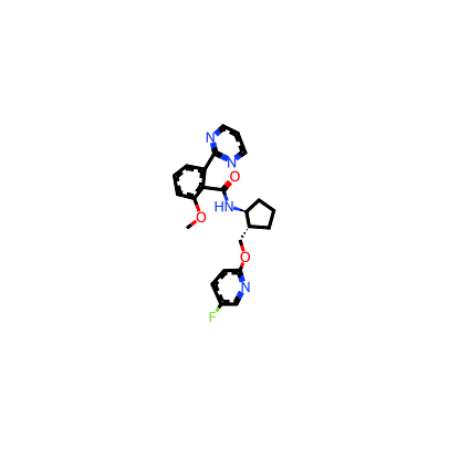 COc1cccc(-c2ncccn2)c1C(=O)N[C@H]1CCC[C@@H]1COc1ccc(F)cn1